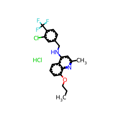 CCCOc1cccc2c(NCc3ccc(C(F)(F)F)c(Cl)c3)cc(C)nc12.Cl